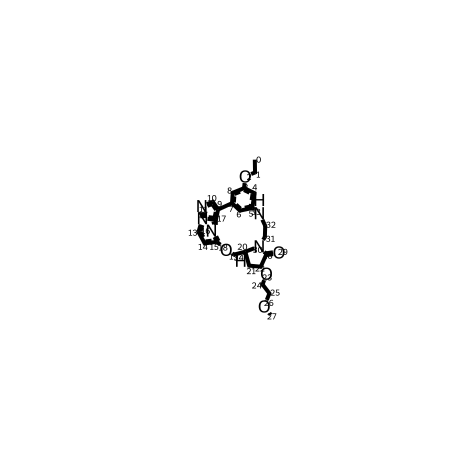 CCOc1cc2cc(c1)-c1cnn3ccc(nc13)OC[C@@H]1C[C@@H](OCCOC)C(=O)N1CCN2